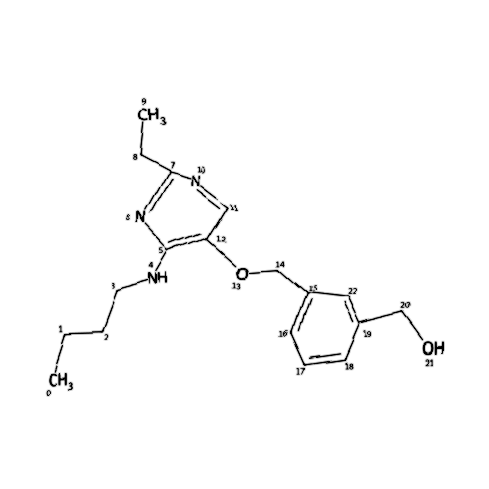 CCCCNc1nc(CC)ncc1OCc1cccc(CO)c1